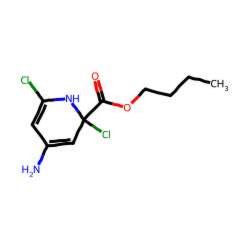 CCCCOC(=O)C1(Cl)C=C(N)C=C(Cl)N1